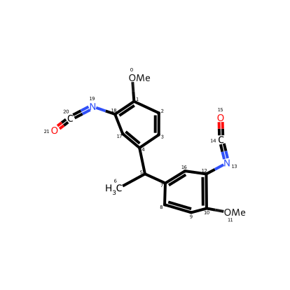 COc1ccc(C(C)c2ccc(OC)c(N=C=O)c2)cc1N=C=O